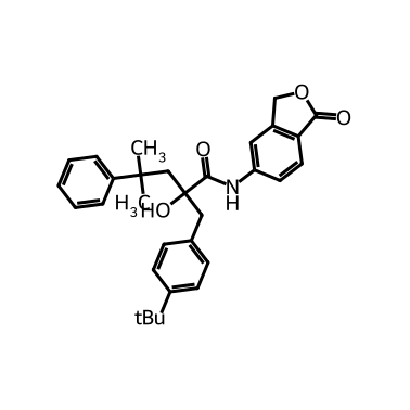 CC(C)(C)c1ccc(CC(O)(CC(C)(C)c2ccccc2)C(=O)Nc2ccc3c(c2)COC3=O)cc1